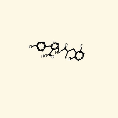 O=C(O)c1c(NC(=O)C(F)Cc2c(F)cccc2Cl)csc1-c1ccc(Cl)cc1